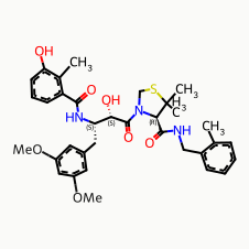 COc1cc(C[C@H](NC(=O)c2cccc(O)c2C)[C@H](O)C(=O)N2CSC(C)(C)[C@H]2C(=O)NCc2ccccc2C)cc(OC)c1